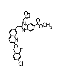 COC(=O)c1ccc2nc(Cc3ccc4ccc(OCc5ccc(Cl)cc5F)nc4c3)n(C[C@@H]3CCO3)c2c1